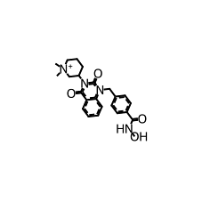 C[N+]1(C)CCCC(n2c(=O)c3ccccc3n(Cc3ccc(C(=O)NO)cc3)c2=O)C1